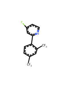 Fc1ccnc(-c2ccc(C(F)(F)F)cc2C(F)(F)F)c1